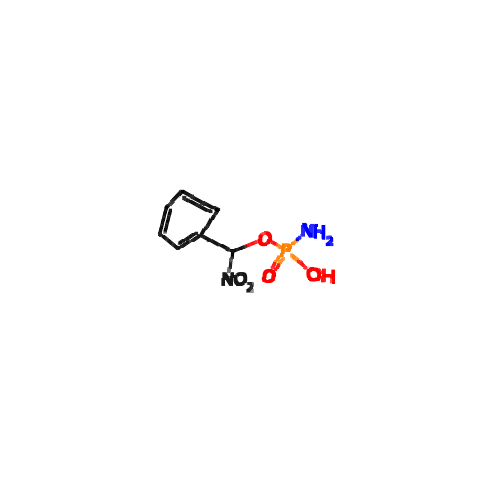 NP(=O)(O)OC(c1ccccc1)[N+](=O)[O-]